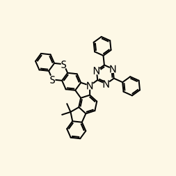 CC1(C)c2ccccc2-c2ccc3c(c21)c1cc2c(cc1n3-c1nc(-c3ccccc3)nc(-c3ccccc3)n1)Sc1ccccc1S2